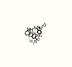 COCCn1nc(N(C)C)c2cc(Nc3nc(N[C@@H]4CCCC[C@@H]4N)c(F)cc3C(N)=O)ccc21